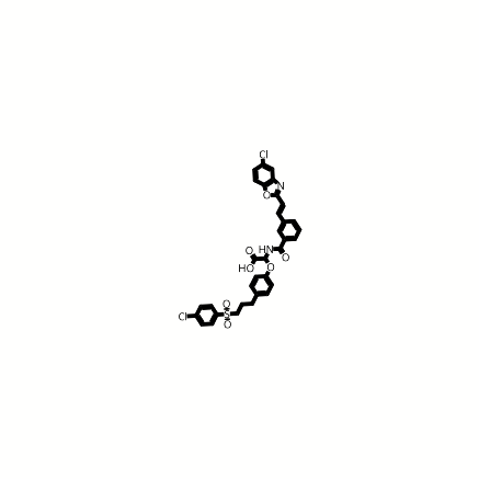 O=C(NC(Oc1ccc(CCCS(=O)(=O)c2ccc(Cl)cc2)cc1)C(=O)O)c1cccc(C=Cc2nc3cc(Cl)ccc3o2)c1